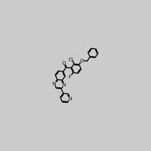 O=C(c1ccc2ncc(-c3cccnc3)nc2c1)c1c(F)ccc(OCc2ccccc2)c1Cl